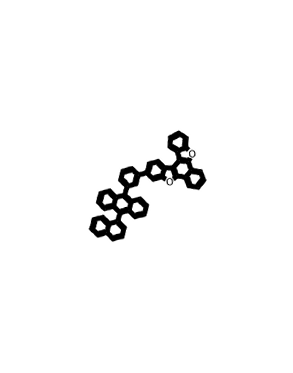 c1cc(-c2ccc3c(c2)oc2c4ccccc4c4oc5ccccc5c4c32)cc(-c2c3ccccc3c(-c3cccc4ccccc34)c3ccccc23)c1